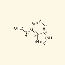 O=[C]Nc1cccc2[nH]cnc12